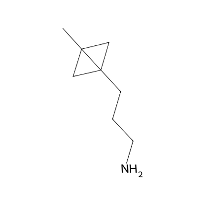 CC12CC1(CCCN)C2